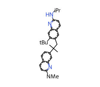 CNc1ccc2ccc(C(C)(C)Cc3cc4ccc(NC(C)C)nc4cc3C(C)(C)C)cc2n1